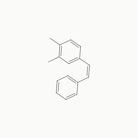 Cc1ccc(/C=C\c2ccccc2)cc1C